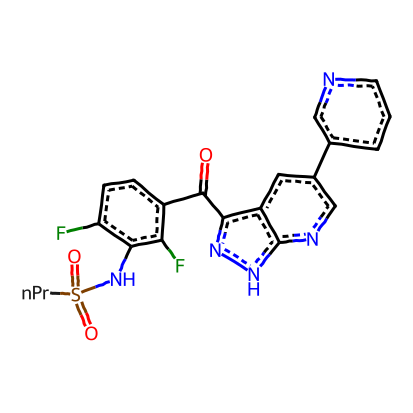 CCCS(=O)(=O)Nc1c(F)ccc(C(=O)c2n[nH]c3ncc(-c4cccnc4)cc23)c1F